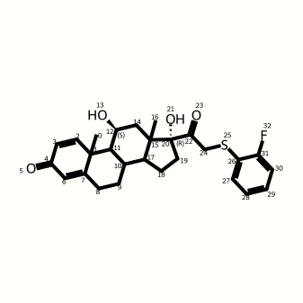 CC12C=CC(=O)C=C1CCC1C2[C@@H](O)CC2(C)C1CC[C@]2(O)C(=O)CSc1ccccc1F